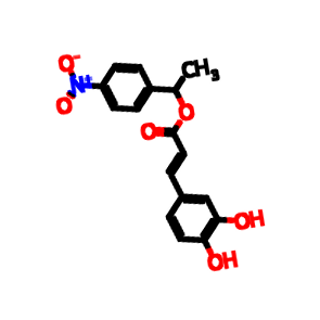 CC(OC(=O)C=Cc1ccc(O)c(O)c1)c1ccc([N+](=O)[O-])cc1